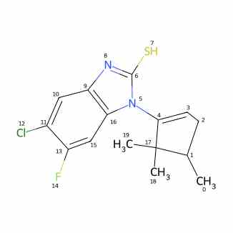 CC1CC=C(n2c(S)nc3cc(Cl)c(F)cc32)C1(C)C